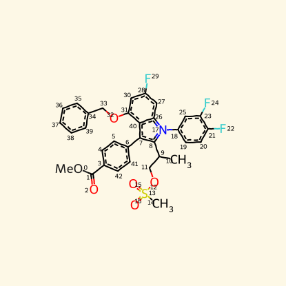 COC(=O)c1ccc(-c2c(C(C)COS(C)(=O)=O)n(-c3ccc(F)c(F)c3)c3cc(F)cc(OCc4ccccc4)c23)cc1